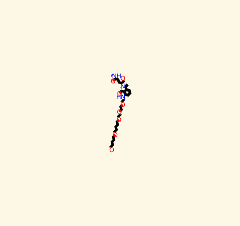 C=C(c1cccc(NCCOCCOCCOCCCCCOCCCCC=O)c1C=O)N(C)C(C=O)CCC(=O)NC